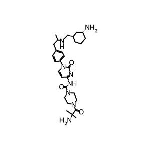 CC(Cc1ccc(-n2ccc(NC(=O)N3CCN(C(=O)C(C)(C)N)CC3)nc2=O)cc1)NC[C@@H]1CCC[C@@H](N)C1